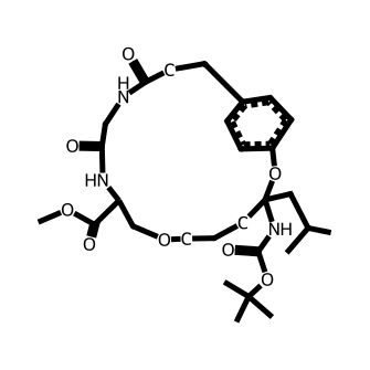 COC(=O)C1COCCCC(CC(C)C)(NC(=O)OC(C)(C)C)Oc2ccc(cc2)CCC(=O)NCC(=O)N1